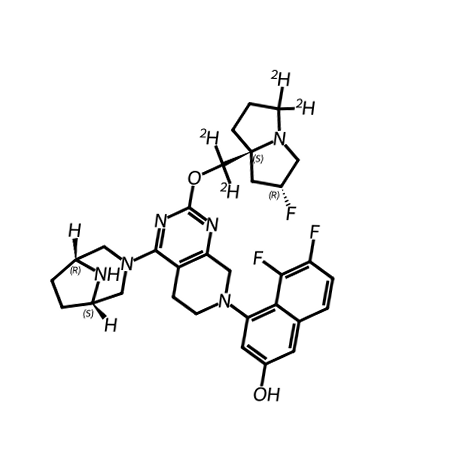 [2H]C1([2H])CC[C@@]2(C([2H])([2H])Oc3nc4c(c(N5C[C@H]6CC[C@@H](C5)N6)n3)CCN(c3cc(O)cc5ccc(F)c(F)c35)C4)C[C@@H](F)CN12